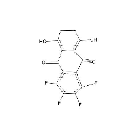 O=C1C2=C(O)CCC(O)=C2C(=O)c2c(F)c(F)c(F)c(F)c21